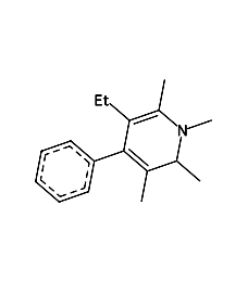 CCC1=C(C)N(C)C(C)C(C)=C1c1ccccc1